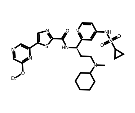 CCOc1cncc(-c2cnc(C(=O)N[C@H](CCN(C)C3CCCCC3)c3cc(NS(=O)(=O)C4CC4)ccn3)s2)n1